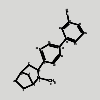 CN1C2CCC(C2)CC1c1ccc(-c2cccc(F)c2)cn1